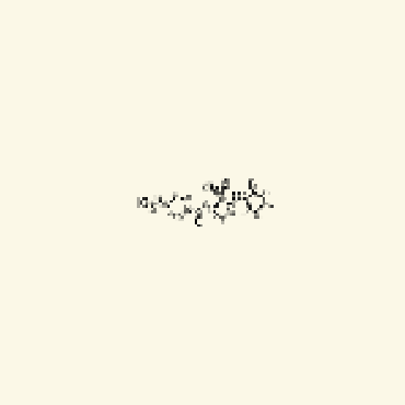 O=C(Cc1cccc(Oc2ccccc2F)c1[N+](=O)[O-])N1CCN(CCO)CC1